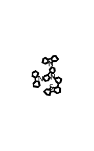 c1cc(-c2cccc3c2sc2ccccc23)cc(-n2c3ccc(-n4c5ccccc5c5ccccc54)cc3c3cc(-n4c5ccccc5c5ccccc54)ccc32)c1